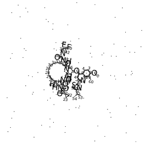 COc1ccc2c(O[C@@H]3C[C@H]4C(=O)N[C@]5(C(=O)NS(=O)(=O)C6CC6)C[C@H]5C=CCCCCC[C@H](NC(=O)N5CC(F)(F)C5)C(=O)N4C3)cc(-c3nc(C(C)C)cs3)nc2c1C